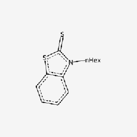 CCCCCCn1c(=S)sc2ccccc21